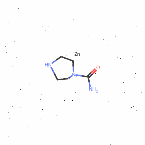 NC(=O)N1CCNCC1.[Zn]